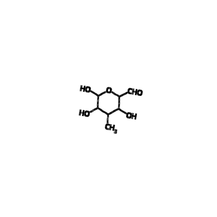 CC1C(O)C(O)OC(C=O)C1O